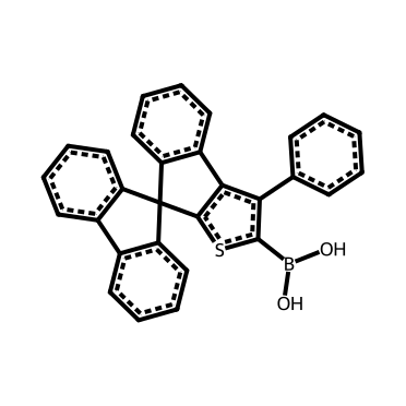 OB(O)c1sc2c(c1-c1ccccc1)-c1ccccc1C21c2ccccc2-c2ccccc21